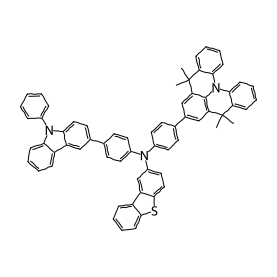 CC1(C)c2ccccc2N2c3ccccc3C(C)(C)c3cc(-c4ccc(N(c5ccc(-c6ccc7c(c6)c6ccccc6n7-c6ccccc6)cc5)c5ccc6sc7ccccc7c6c5)cc4)cc1c32